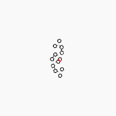 C1=C2c3cc(N(c4ccccc4)c4ccccc4)ccc3OC2CC=C1N(c1ccccc1)c1cccc2c1oc1c(N(C3=Cc4c(oc5ccc(N(c6ccccc6)c6ccccc6)cc45)CC3)c3ccccc3)cccc12